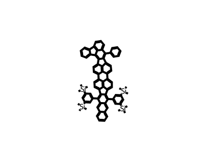 C[Si](C)(C)c1cc(-c2c3c(c(-c4cc([Si](C)(C)C)cc([Si](C)(C)C)c4)c4cc5ccccc5cc24)-c2ccc4c5ccc6c7c(ccc(c8ccc-3c2c84)c57)c2c(-c3ccccc3)c3cccc4c5ccccc5c(c34)c62)cc([Si](C)(C)C)c1